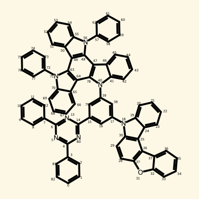 c1ccc(-c2nc(-c3ccccc3)nc(-c3cc(-n4c5ccccc5c5c6c(ccc54)oc4ccccc46)cc(-n4c5ccccc5c5c6c(c7ccccc7n6-c6ccccc6)c6c(c7ccccc7n6-c6ccccc6)c54)c3)n2)cc1